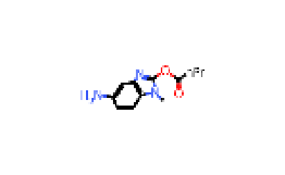 CCCC(=O)Oc1nc2cc(N)ccc2n1C